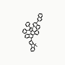 CC1(C)c2ccccc2-c2ccc(-c3cc4c5ccccc5c5c(c(-c6ccccc6)c(-c6ccccc6)n5-c5ccc(-c6ccc7ccccc7c6)c6ccccc56)c4c4ccccc34)cc21